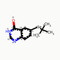 CC(C)(C)[Se]c1ccc2nc[nH]c(=O)c2c1